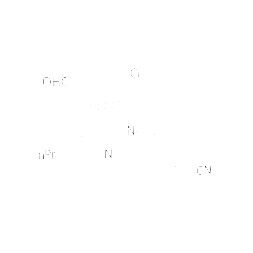 CCCc1nn(CCC#N)c(Cl)c1C=O